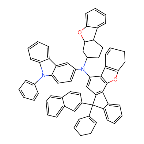 C1=CC(C2(c3ccc4ccccc4c3)c3ccccc3-c3c2cc(N(c2ccc4c(c2)c2ccccc2n4-c2ccccc2)C2CCC4c5ccccc5OC4C2)c2c4c(oc32)CCC=C4)=CCC1